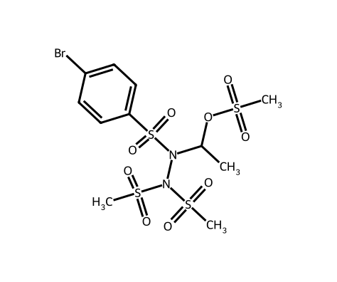 CC(OS(C)(=O)=O)N(N(S(C)(=O)=O)S(C)(=O)=O)S(=O)(=O)c1ccc(Br)cc1